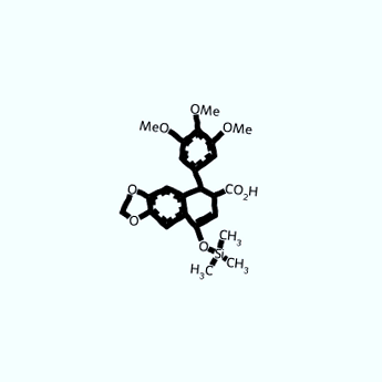 COc1cc(C2c3cc4c(cc3C(O[Si](C)(C)C)=CC2C(=O)O)OCO4)cc(OC)c1OC